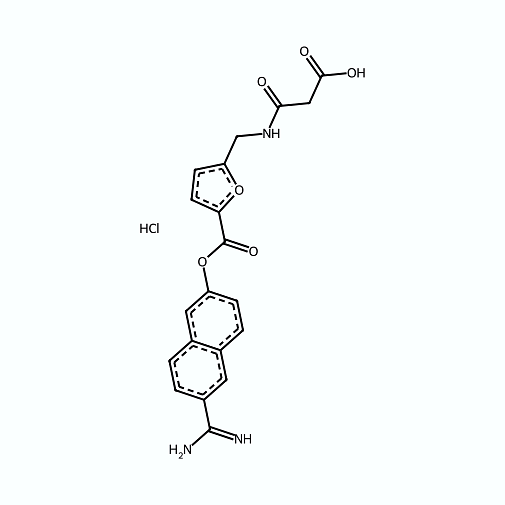 Cl.N=C(N)c1ccc2cc(OC(=O)c3ccc(CNC(=O)CC(=O)O)o3)ccc2c1